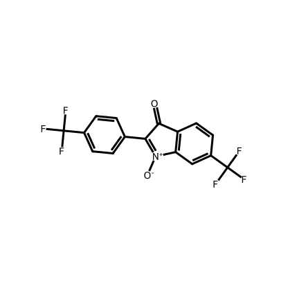 O=C1C(c2ccc(C(F)(F)F)cc2)=[N+]([O-])c2cc(C(F)(F)F)ccc21